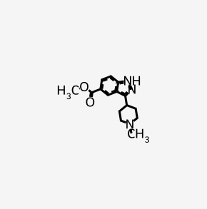 COC(=O)c1ccc2[nH]nc(C3CCN(C)CC3)c2c1